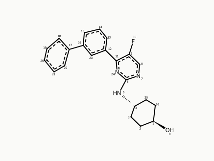 O[C@H]1CC[C@H](Nc2ncc(F)c(-c3cccc(-c4ccccc4)c3)n2)CC1